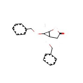 O=C1O[C@@H]2C(OCc3ccccc3)[C@]2(OCc2ccccc2)[C@H]1Cl